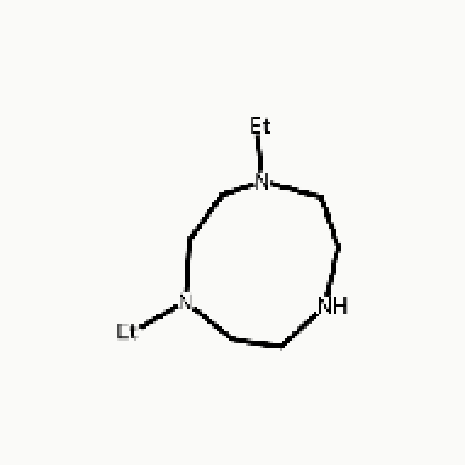 CCN1CCNCCN(CC)CC1